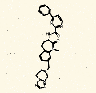 CN1C(=O)[C@@H](NC(=O)c2nccc(-c3ccccc3)n2)CCc2ccc(CN3CCn4ncnc4C3)cc21